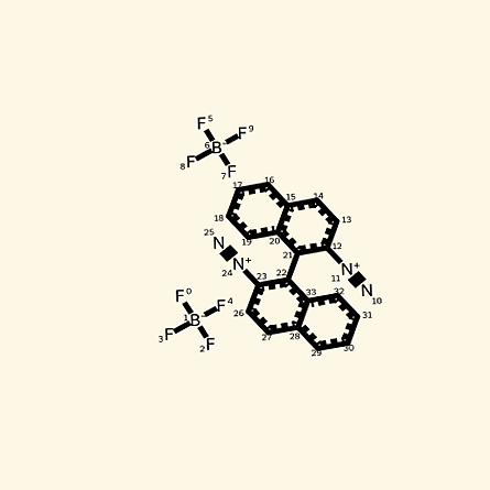 F[B-](F)(F)F.F[B-](F)(F)F.N#[N+]c1ccc2ccccc2c1-c1c([N+]#N)ccc2ccccc12